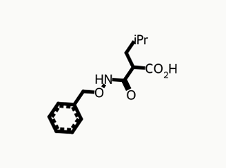 CC(C)CC(C(=O)O)C(=O)NOCc1ccccc1